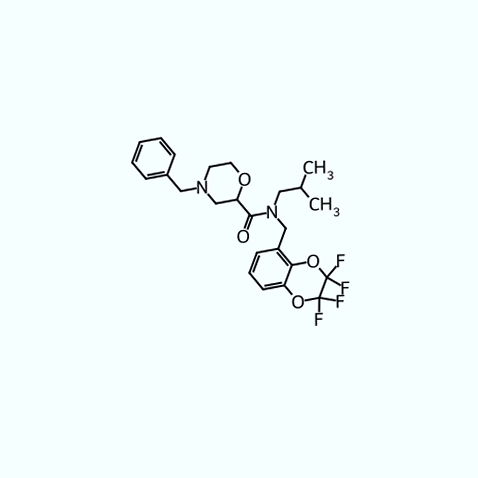 CC(C)CN(Cc1cccc2c1OC(F)(F)C(F)(F)O2)C(=O)C1CN(Cc2ccccc2)CCO1